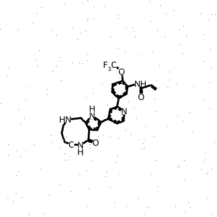 C=CC(=O)Nc1cc(-c2cc(-c3cc4c([nH]3)CNCCCCNC4=O)ccn2)ccc1OC(F)(F)F